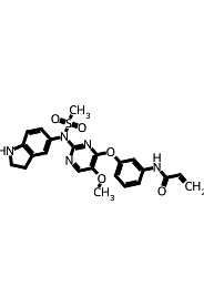 C=CC(=O)Nc1cccc(Oc2nc(N(c3ccc4c(c3)CCN4)S(C)(=O)=O)ncc2OC)c1